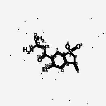 C=C1CS(=O)(=O)c2cc(C(=O)N=C(N)N)c(CC)cc21